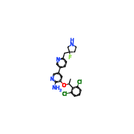 CC(Oc1cc(-c2ccc(CC3(F)CCNC3)nc2)cnc1N)c1c(Cl)cccc1Cl